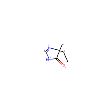 CCC1(C)N=CNC1=O